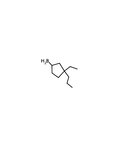 BC1CCC(CC)(CCC)C1